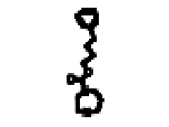 O=C(OCCCCc1ccccc1)N1CCC[N]CC1